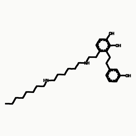 CCCCCCCCNCCCCCCNCCc1ccc(O)c(O)c1CCc1cccc(O)c1